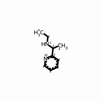 CCN[C](C)c1ccccn1